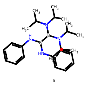 CC(C)N(B(B(Nc1ccccc1)Nc1ccccc1)N(C(C)C)C(C)C)C(C)C.[Ti]